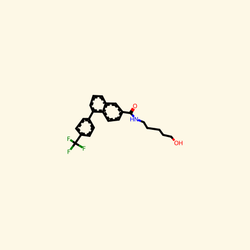 O=C(NCCCCCO)c1ccc2c(-c3ccc(C(F)(F)F)cc3)cccc2c1